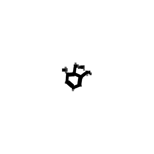 Cl.Cl.Nc1cncnc1N